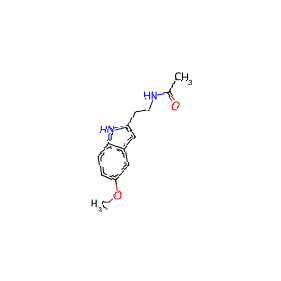 COc1ccc2[nH]c(CCNC(C)=O)cc2c1